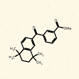 COC(=O)c1cccc(C(=O)c2ccc3c(c2)C(C)(C)CCC3(C)C)c1